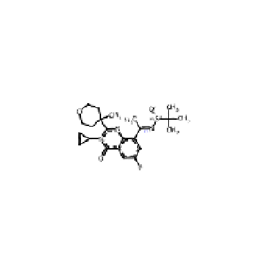 C/C(=N\[S@+]([O-])C(C)(C)C)c1cc(F)cc2c(=O)n(C3CC3)c(C3(C)CCOCC3)nc12